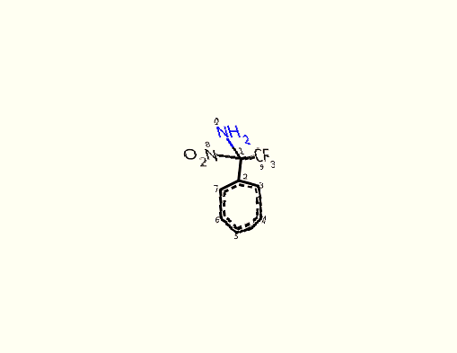 NC(c1ccccc1)([N+](=O)[O-])C(F)(F)F